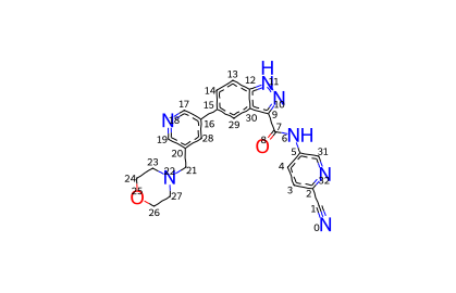 N#Cc1ccc(NC(=O)c2n[nH]c3ccc(-c4cncc(CN5CCOCC5)c4)cc23)cn1